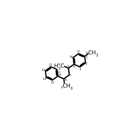 Cc1ccc(C(C)CC(C)c2ccccc2)cc1